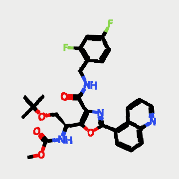 COC(=O)N[C@@H](COC(C)(C)C)c1oc(-c2cccc3ncccc23)nc1C(=O)NCc1ccc(F)cc1F